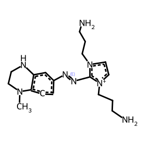 CN1CCNc2cc(/N=N/c3n(CCCN)cc[n+]3CCCN)ccc21